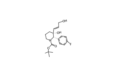 CC(C)(C)OC(=O)N1CCC[C@@](O)(C=CCO)[C@@H]1c1ccc(F)cc1